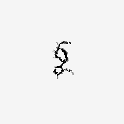 Cc1ccccc1-c1ccc(CBr)cc1